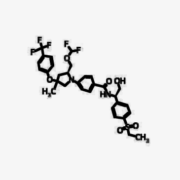 CCS(=O)(=O)c1ccc([C@H](CO)NC(=O)c2ccc(N3CC(C)(Oc4ccc(C(F)(F)F)cc4)C[C@H]3COC(F)F)cc2)cc1